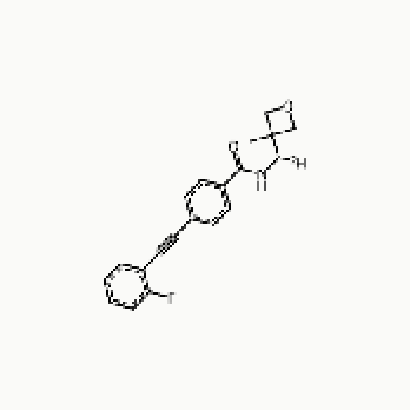 [2H]C(NC(=O)c1ccc(C#Cc2ccccc2F)cc1)C1(C)COC1